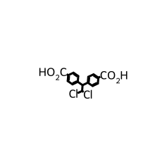 O=C(O)c1ccc(C(c2ccc(C(=O)O)cc2)C(Cl)Cl)cc1